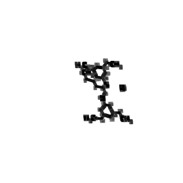 CCCCC(/C=N/c1cc(CC)cc(CC)c1)=N\c1cc(CC)cc(CC)c1.[Ni]